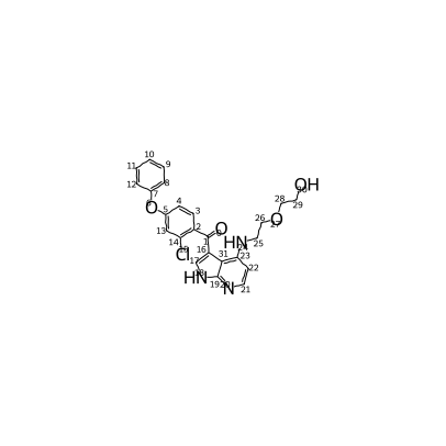 O=C(c1ccc(Oc2ccccc2)cc1Cl)c1c[nH]c2nccc(NCCOCCO)c12